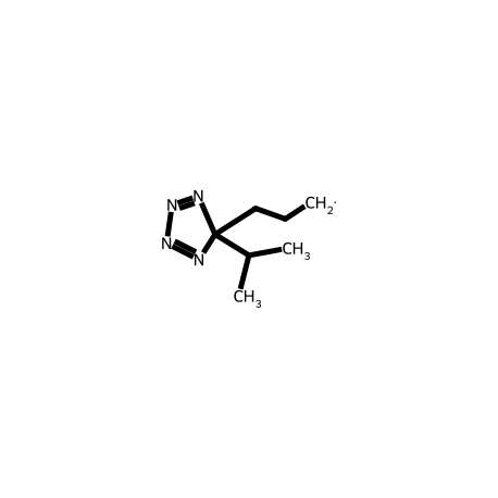 [CH2]CCC1(C(C)C)N=NN=N1